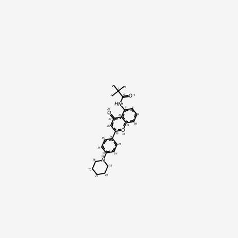 CC(C)(C)C(=O)Nc1cccc2oc(-c3ccc(N4CCCCC4)cc3)cc(=O)c12